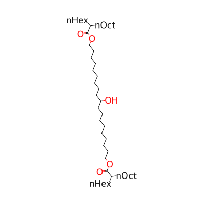 CCCCCCCCC(CCCCCC)C(=O)OCCCCCCCCCC(O)CCCCCCCCCOC(=O)C(CCCCCC)CCCCCCCC